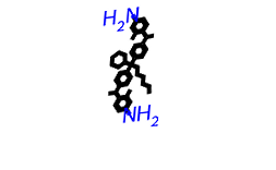 CCCCCCC(c1ccc(C(C)c2ccc(N)cc2C)cc1)(c1ccc(C(C)c2ccc(N)cc2C)cc1)C1CCCCC1